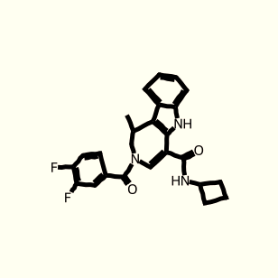 CC1CN(C(=O)c2ccc(F)c(F)c2)C=C(C(=O)NC2CCC2)c2[nH]c3ccccc3c21